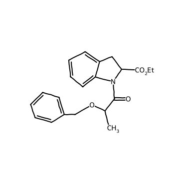 CCOC(=O)C1Cc2ccccc2N1C(=O)C(C)OCc1ccccc1